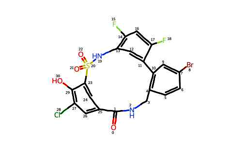 O=C1NCc2ccc(Br)cc2-c2cc(c(F)cc2F)NS(=O)(=O)c2cc1cc(Cl)c2O